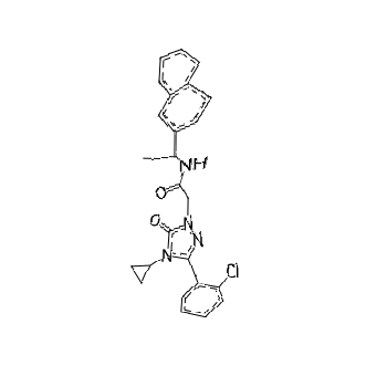 CC(NC(=O)Cn1nc(-c2ccccc2Cl)n(C2CC2)c1=O)c1ccc2ccccc2c1